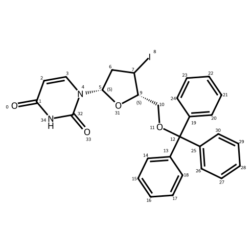 O=c1ccn([C@@H]2CC(I)[C@H](COC(c3ccccc3)(c3ccccc3)c3ccccc3)O2)c(=O)[nH]1